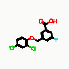 O=C(O)c1cc(F)cc(COc2ccc(Cl)cc2Cl)c1